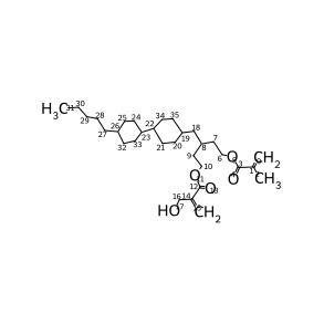 C=C(C)C(=O)OCCC(CCOC(=O)C(=C)CO)CC1CCC(C2CCC(CCCCC)CC2)CC1